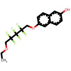 CCOCC(F)(F)C(F)(F)C(F)(F)COc1ccc2cc(O)ccc2c1